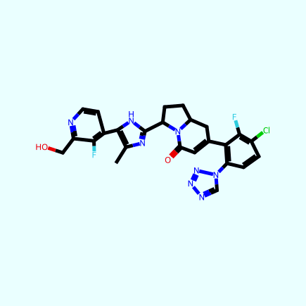 Cc1nc(C2CCC3CC(c4c(-n5cnnn5)ccc(Cl)c4F)=CC(=O)N32)[nH]c1-c1ccnc(CO)c1F